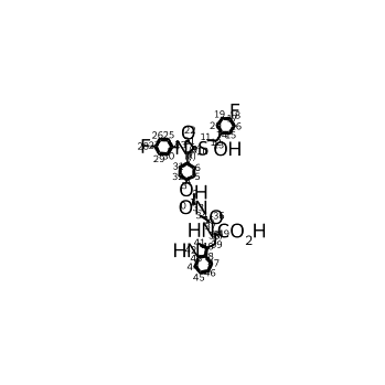 O=C(COc1ccc([C@@H]2[C@@H](SCC(O)c3ccc(F)cc3)C(=O)N2c2ccc(F)cc2)cc1)NCC(=O)N[C@H](Cc1c[nH]c2ccccc12)C(=O)O